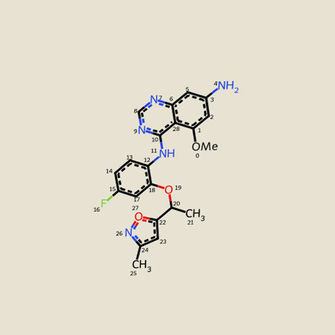 COc1cc(N)cc2ncnc(Nc3ccc(F)cc3OC(C)c3cc(C)no3)c12